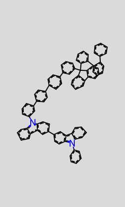 c1ccc(-c2ccccc2-c2ccccc2C2(c3cccc(-c4ccc(-c5ccc(-c6cccc(-n7c8ccccc8c8cc(-c9ccc%10c(c9)c9ccccc9n%10-c9ccccc9)ccc87)c6)cc5)cc4)c3)c3ccccc3-c3ccccc32)cc1